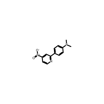 CN(C)c1ccc(-c2cc([N+](=O)[O-])ccn2)cc1